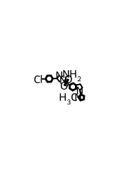 Cn1cccc1N1CCc2cc(S(=O)(=O)N3CC(c4ccc(Cl)cc4)N=C3N)ccc21